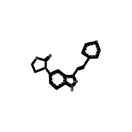 O=C1OCCN1c1ccc2[nH]nc(/C=C/c3ccncc3)c2c1